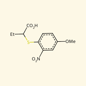 CCC(Sc1ccc(OC)cc1[N+](=O)[O-])C(=O)O